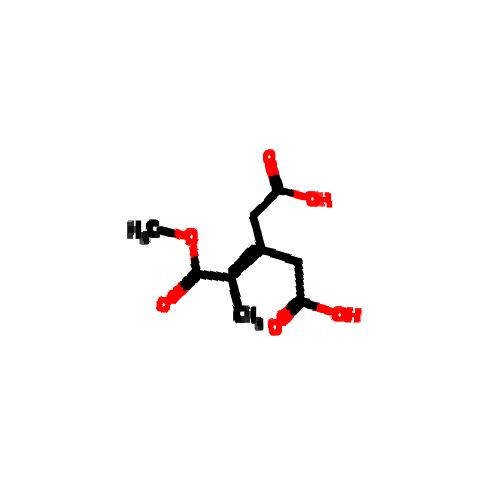 COC(=O)C(C)=C(CC(=O)O)CC(=O)O